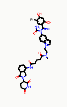 CC(C)c1cc(C(=N)N(C(N)=O)c2ccc3c(ccn3CCN(C)C(=O)CCCC(=O)Nc3cccc4c3CN(C3CCC(=O)NC3=O)C4=O)c2)c(O)cc1O